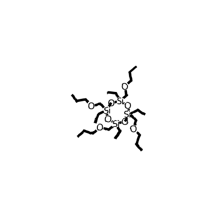 CCCOC[Si]1(CC)O[Si](CC)(COCCC)O[Si](CC)(COCCC)O[Si](CC)(COCCC)O1